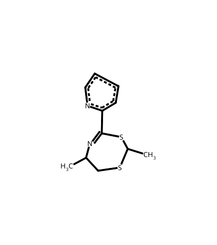 CC1CSC(C)SC(c2ccccn2)=N1